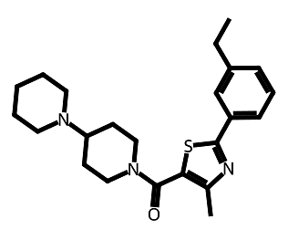 CCc1cccc(-c2nc(C)c(C(=O)N3CCC(N4CCCCC4)CC3)s2)c1